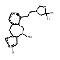 CCC1(CC)OC[C@H](CCc2cccc3c2C[C@@H](O)c2cc(F)ccc2C3)O1